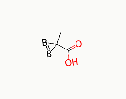 CC1(C(=O)O)B=B1